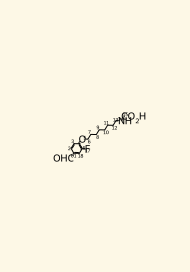 O=Cc1ccc(OCCCCCCCCNC(=O)O)c(F)c1